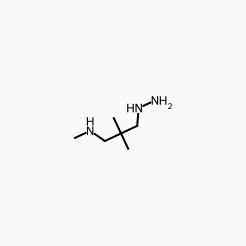 CNCC(C)(C)CNN